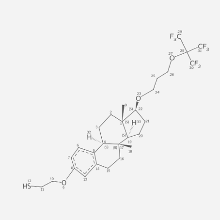 C[C@]12CC[C@@H]3c4ccc(OCCS)cc4CC[C@@]3(C)[C@@H]1CC[C@@H]2OCCCOC(C(F)(F)F)(C(F)(F)F)C(F)(F)F